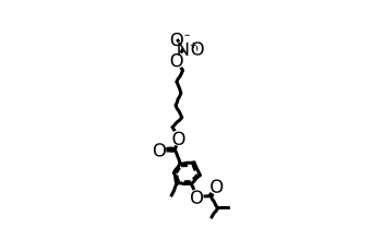 Cc1cc(C(=O)OCCCCCCO[N+](=O)[O-])ccc1OC(=O)C(C)C